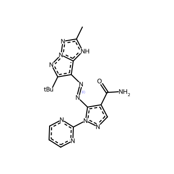 Cc1nn2nc(C(C)(C)C)c(/N=N/c3c(C(N)=O)cnn3-c3ncccn3)c2[nH]1